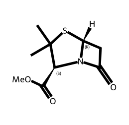 COC(=O)[C@@H]1N2C(=O)C[C@H]2SC1(C)C